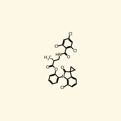 C[C@@H](CNC(=O)c1c(Cl)cc(Cl)cc1Cl)C(=O)Oc1ccccc1N1C(=O)C2(CC2)c2cccc(Cl)c21